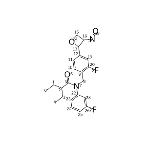 CCC(CC)C(=O)N(Cc1ccc(C2OCC2N=O)cc1F)c1cccc(F)c1